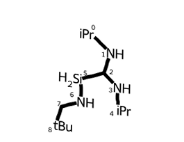 CC(C)NC(NC(C)C)[SiH2]NCC(C)(C)C